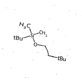 CC(C)(C)[CH]CO[Si](C)(C)C(C)(C)C